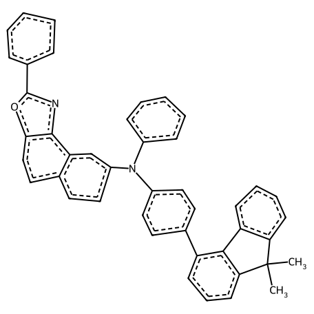 CC1(C)c2ccccc2-c2c(-c3ccc(N(c4ccccc4)c4ccc5ccc6oc(-c7ccccc7)nc6c5c4)cc3)cccc21